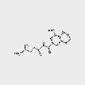 COc1cc(C(=O)NC(=O)CC[C@H](N)C(=O)O)cc2ccccc12